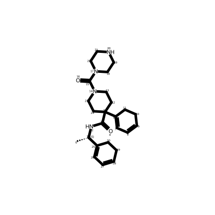 C[C@H](NC(=O)C1(C2=CC=CCC2)CCN(C(=O)N2CCNCC2)CC1)C1=CC=CCC1